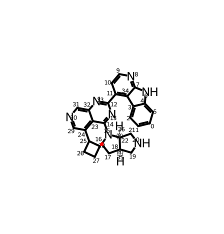 c1ccc2c(c1)[nH]c1nccc(-c3nc(N4CC[C@@H]5CNC[C@@H]54)c4c(C5CCC5)cncc4n3)c12